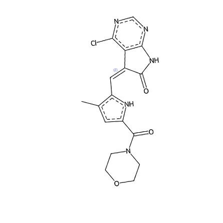 Cc1cc(C(=O)N2CCOCC2)[nH]c1/C=C1\C(=O)Nc2ncnc(Cl)c21